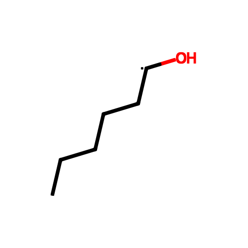 CCCCC[CH]O